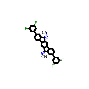 N#C/N=c1\c2cc(-c3cc(F)cc(F)c3)ccc2c2cc3/c(=N/C#N)c4cc(-c5cc(F)cc(F)c5)ccc4c3cc12